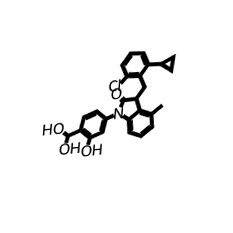 Cc1cccc2c1C(Cc1c(Cl)cccc1C1CC1)C(=O)N2c1ccc(C(O)O)c(O)c1